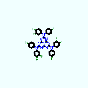 Fc1ccc(N(C2=NC3=NC(N(c4ccc(F)cc4)c4ccc(F)c(F)c4)=NC4=NC(N(c5ccc(F)cc5)c5ccc(F)c(F)c5)=NC(=N2)N34)c2ccc(F)c(F)c2)cc1